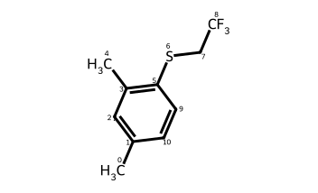 Cc1[c]c(C)c(SCC(F)(F)F)cc1